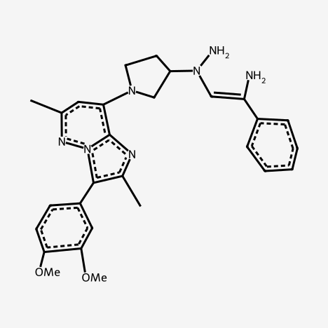 COc1ccc(-c2c(C)nc3c(N4CCC(N(N)/C=C(\N)c5ccccc5)C4)cc(C)nn23)cc1OC